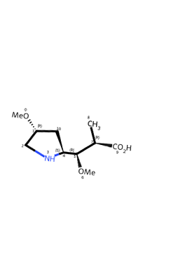 CO[C@H]1CN[C@H]([C@H](OC)[C@@H](C)C(=O)O)C1